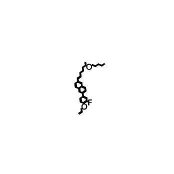 C=CCOc1ccc(-c2ccc3cc(C=CCCCC(C)OCCCCC)ccc3c2)cc1F